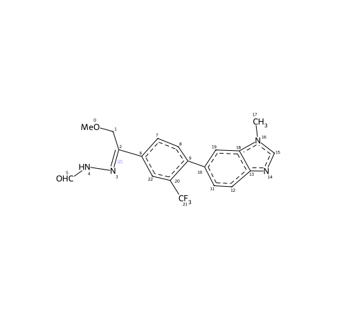 COC/C(=N\NC=O)c1ccc(-c2ccc3ncn(C)c3c2)c(C(F)(F)F)c1